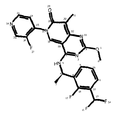 COc1nc(N[C@H](C)c2cccc(C(F)F)c2F)c2cn(-c3ccncc3F)c(=O)c(C)c2n1